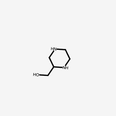 OCC1CNCCN1